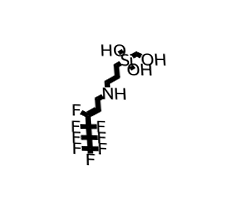 OC[Si](O)(O)CCCNC/C=C(\F)C(F)(F)C(F)(F)C(F)(F)F